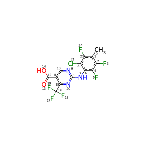 Cc1c(F)c(F)c(Nc2ncc(C(=O)O)c(C(F)(F)F)n2)c(Cl)c1F